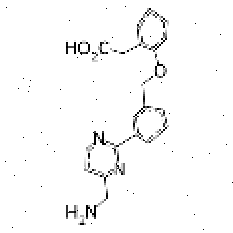 NCc1ccnc(-c2cccc(COc3ccccc3CC(=O)O)c2)n1